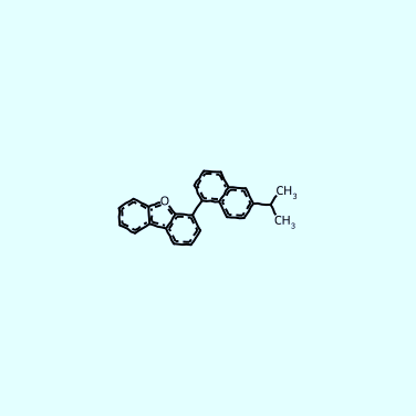 CC(C)c1ccc2c(-c3cccc4c3oc3ccccc34)cccc2c1